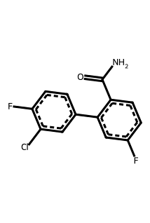 NC(=O)c1ccc(F)cc1-c1ccc(F)c(Cl)c1